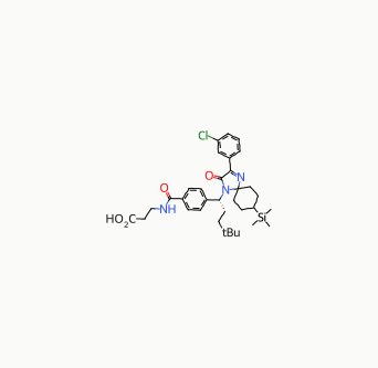 CC(C)(C)CC[C@H](c1ccc(C(=O)NCCC(=O)O)cc1)N1C(=O)C(c2cccc(Cl)c2)=NC12CCC([Si](C)(C)C)CC2